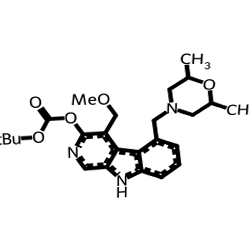 COCc1c(OC(=O)OC(C)(C)C)ncc2[nH]c3cccc(CN4CC(C)OC(C)C4)c3c12